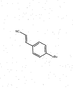 CCCCc1ccc(C=CC#N)cc1